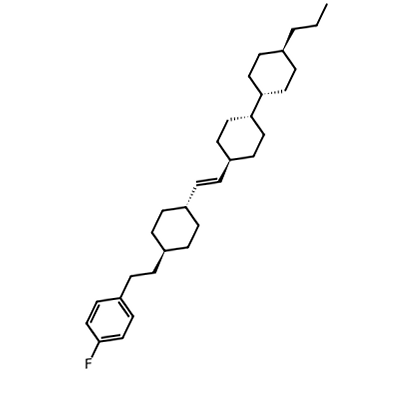 CCC[C@H]1CC[C@H]([C@H]2CC[C@H](C=C[C@H]3CC[C@H](CCc4ccc(F)cc4)CC3)CC2)CC1